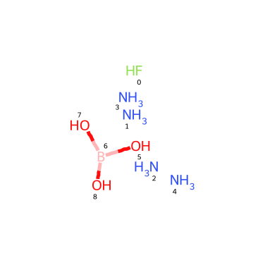 F.N.N.N.N.OB(O)O